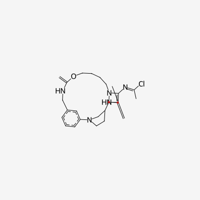 C=C1NCc2cccc(c2)N2CCC(C2)C23NC(=C)C2=C(/N=C(\C)Cl)N3CCCCO1